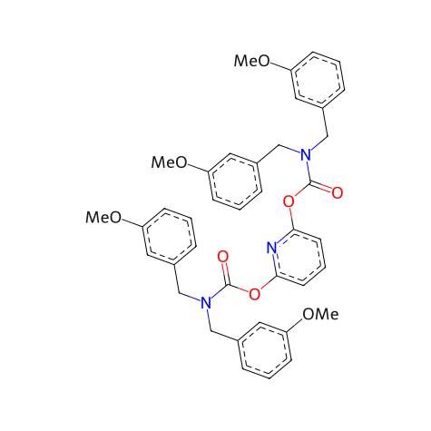 COc1cccc(CN(Cc2cccc(OC)c2)C(=O)Oc2cccc(OC(=O)N(Cc3cccc(OC)c3)Cc3cccc(OC)c3)n2)c1